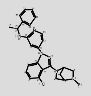 CCN1CC2CC1CN2c1nn(-c2ccnc(N[C@@H](C)c3ccccc3)c2)c2cccc(Cl)c12